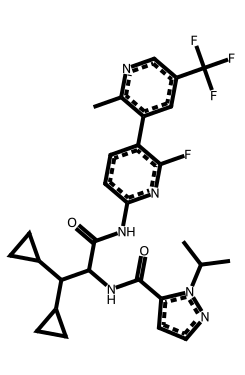 Cc1ncc(C(F)(F)F)cc1-c1ccc(NC(=O)C(NC(=O)c2ccnn2C(C)C)C(C2CC2)C2CC2)nc1F